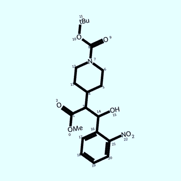 COC(=O)C(C1CCN(C(=O)OC(C)(C)C)CC1)C(O)c1ccccc1[N+](=O)[O-]